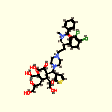 CN(C[C@@H](CCN1CCN(C(c2ccsc2)[C@H](C(=O)CO)[C@@H](C(=O)CO)[C@@H](CC(=O)CO)C(=O)CO)CC1)c1ccc(Cl)c(Cl)c1)C(=O)c1ccccc1